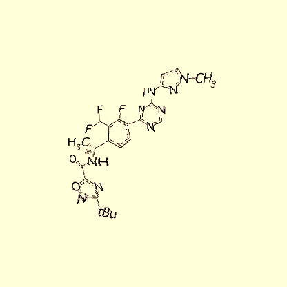 C[C@@H](NC(=O)c1nc(C(C)(C)C)no1)c1ccc(-c2ncnc(Nc3ccn(C)n3)n2)c(F)c1C(F)F